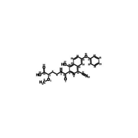 COC(CCNC(=O)c1nc(C#N)c2cc(Oc3ccccc3)ccc2c1O)C(=O)O